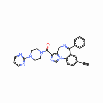 C#Cc1ccc2c(c1)C(c1ccccc1)=NCc1c(C(=O)N3CCN(c4ncccn4)CC3)ncn1-2